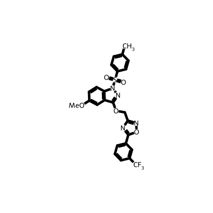 COc1ccc2c(c1)c(OCc1noc(-c3cccc(C(F)(F)F)c3)n1)nn2S(=O)(=O)c1ccc(C)cc1